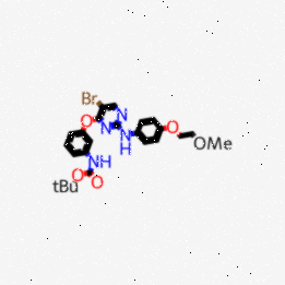 COCCOC1=C=C=C(Nc2ncc(Br)c(Oc3cccc(NC(=O)OC(C)(C)C)c3)n2)C=C1